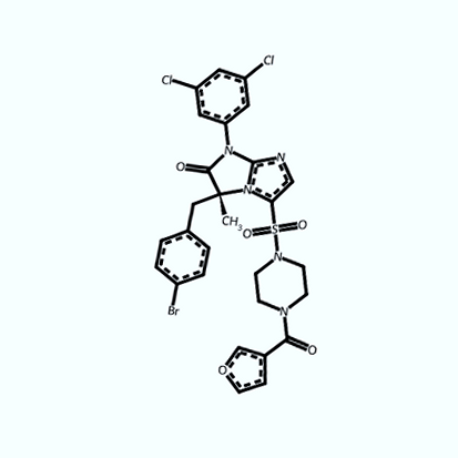 C[C@@]1(Cc2ccc(Br)cc2)C(=O)N(c2cc(Cl)cc(Cl)c2)c2ncc(S(=O)(=O)N3CCN(C(=O)c4ccoc4)CC3)n21